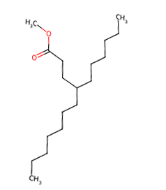 CCCCCCCC(CCCCCC)CCC(=O)OC